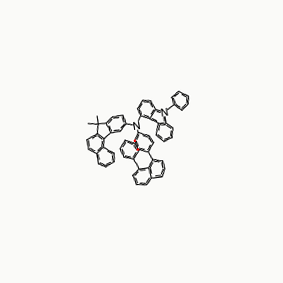 CC1(C)c2ccc(N(c3ccc(-c4cccc5cccc(-c6ccccc6)c45)cc3)c3cccc4c3c3ccccc3n4-c3ccccc3)cc2-c2c1ccc1ccccc21